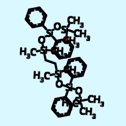 C[Si](C)(C)O[Si](O[Si](C)(C)CC[Si](C)(C)O[Si](O[Si](C)(C)C)(c1ccccc1)c1ccccc1)(c1ccccc1)c1ccccc1